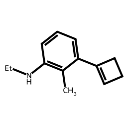 CCNc1cccc(C2=CCC2)c1C